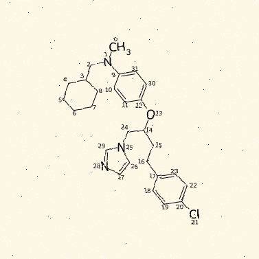 CN(CC1CCCCC1)c1ccc(OC(CCc2ccc(Cl)cc2)Cn2ccnc2)cc1